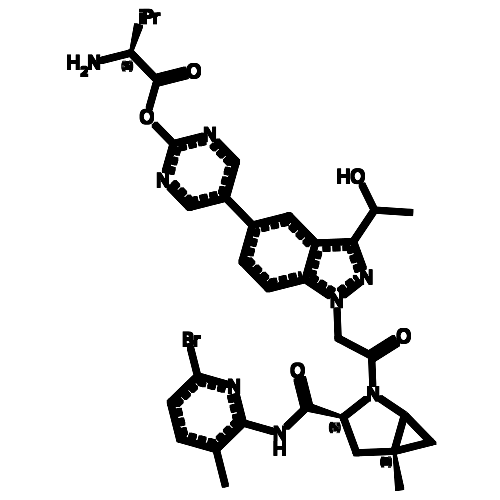 Cc1ccc(Br)nc1NC(=O)[C@@H]1C[C@@]2(C)CC2N1C(=O)Cn1nc(C(C)O)c2cc(-c3cnc(OC(=O)[C@@H](N)C(C)C)nc3)ccc21